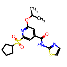 CC(C)Oc1cc(C(=O)Nc2nccs2)cc(S(=O)(=O)C2CCCC2)n1